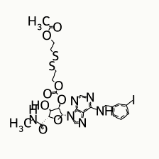 CNC(=O)[C@H]1O[C@@H](n2cnc3c(NCc4cccc(I)c4)ncnc32)[C@H](OC(=O)OCCSSCCOC(C)=O)[C@@H]1O